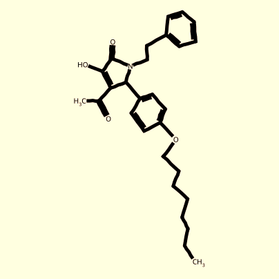 CCCCCCCCOc1ccc(C2C(C(C)=O)=C(O)C(=O)N2CCc2ccccc2)cc1